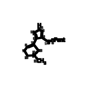 CCCCCSc1c[nH]nc1C1=CCCN(C)C1